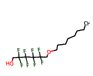 CCCCCCCCOCC(F)(F)C(F)(F)C(F)(F)C(F)(F)CO